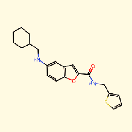 O=C(NCc1cccs1)c1cc2cc(NCC3CCCCC3)ccc2o1